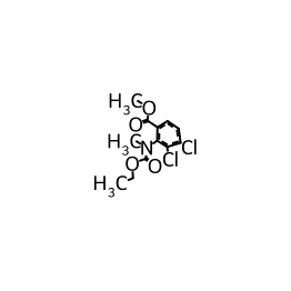 CCOC(=O)N(C)c1c(C(=O)OC)ccc(Cl)c1Cl